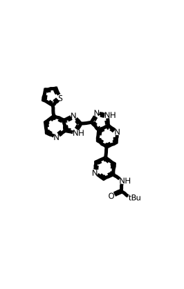 CC(C)(C)C(=O)Nc1cncc(-c2cnc3[nH]nc(-c4nc5c(-c6cccs6)ccnc5[nH]4)c3c2)c1